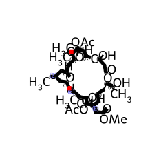 C/C=C1/C[C@H]2C[C@]3(O)O[C@H](C[C@@H](O)CC(=O)O[C@@H]([C@@H](C)O)C[C@@H]4C/C(=C\C(=O)OC)[C@H](OC(C)=O)[C@@](O)(O4)C(C)(C)/C=C/[C@@H](C1)O2)C[C@H](OC(C)=O)C3(C)C